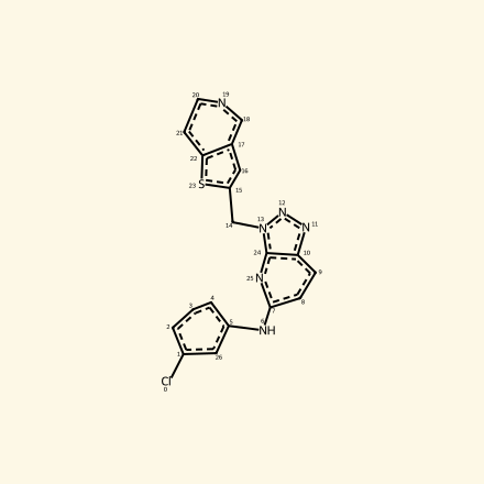 Clc1cccc(Nc2ccc3nnn(Cc4cc5cnccc5s4)c3n2)c1